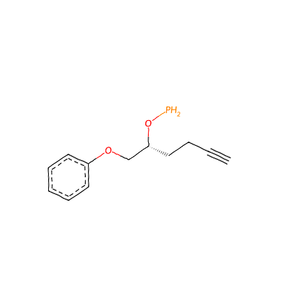 C#CCC[C@H](COc1ccccc1)OP